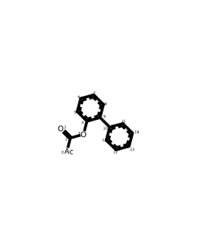 CC(=O)C(=O)Oc1ccccc1-c1ccccc1